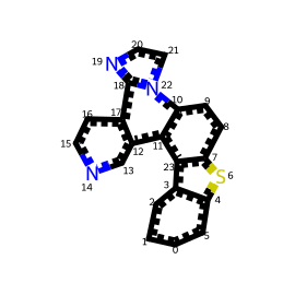 c1ccc2c(c1)sc1ccc3c(c4cnccc4c4nccn34)c12